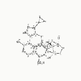 O=C(O)c1cccc([C@]2(O)[C@@H]3CC[C@H]2C[C@H](OCc2c(-c4c(Cl)cccc4Cl)noc2C2CC2)C3)c1